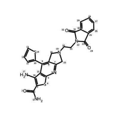 NC(=O)c1sc2nc3c(c(-c4cccs4)c2c1N)CN(CCN1C(=O)c2ccccc2C1=O)C3